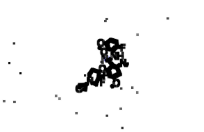 C=Nc1cc(OC)cc(OC2CCN(C3COC3)CC2(F)F)c1/C(=N\C)Nc1c(F)ccc2c1OCO2